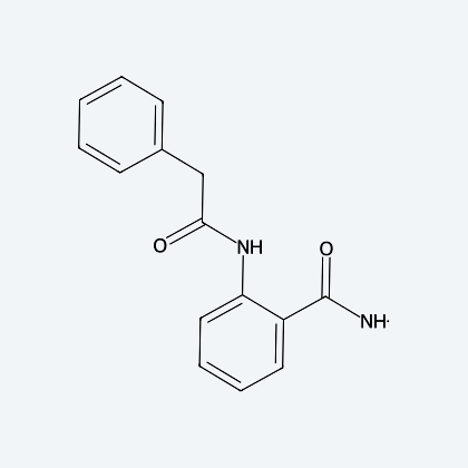 [NH]C(=O)c1ccccc1NC(=O)Cc1ccccc1